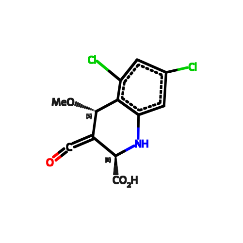 CO[C@H]1C(=C=O)[C@H](C(=O)O)Nc2cc(Cl)cc(Cl)c21